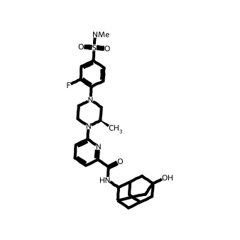 CNS(=O)(=O)c1ccc(N2CCN(c3cccc(C(=O)NC4C5CC6CC4CC(O)(C6)C5)n3)[C@H](C)C2)c(F)c1